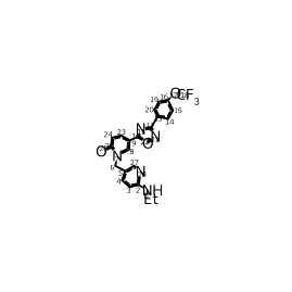 CCNc1ccc(Cn2cc(-c3nc(-c4ccc(OC(F)(F)F)cc4)no3)ccc2=O)cn1